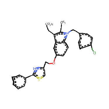 Cc1c(CC(=O)O)c2cc(OCc3csc(-c4ccccc4)n3)ccc2n1Cc1ccc(Cl)cc1